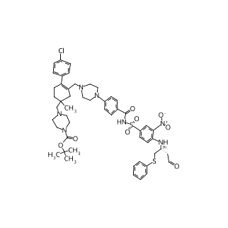 CC1(CN2CCN(C(=O)OC(C)(C)C)CC2)CCC(c2ccc(Cl)cc2)=C(CN2CCN(c3ccc(C(=O)NS(=O)(=O)c4ccc(N[C@H](CC=O)CSc5ccccc5)c([N+](=O)[O-])c4)cc3)CC2)C1